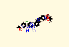 C=CC(=O)N1CCCC(Nc2nc(Nc3ccc4cn(CC5CCN(C(=O)OC(C)(C)C)CC5)cc4c3)ncc2F)C1